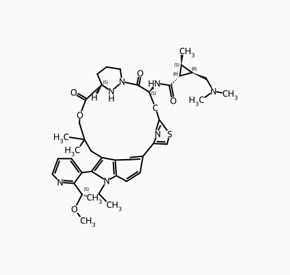 CCn1c(-c2cccnc2[C@H](C)OC)c2c3cc(ccc31)-c1csc(n1)C[C@H](NC(=O)[C@@H]1[C@@H](C)[C@H]1CN(C)C)C(=O)N1CCC[C@H](N1)C(=O)OCC(C)(C)C2